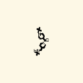 CC(C)(C)CN1CCC(C(=O)N2CCC(CNC(C)(C)C)CC2)CC1